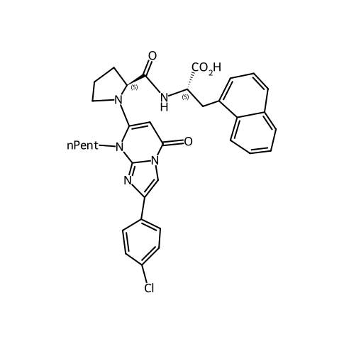 CCCCCn1c(N2CCC[C@H]2C(=O)N[C@@H](Cc2cccc3ccccc23)C(=O)O)cc(=O)n2cc(-c3ccc(Cl)cc3)nc12